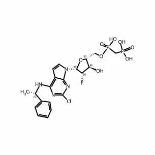 C[C@H](Nc1nc(Cl)nc2c1ccn2[C@@H]1O[C@H](COP(=O)(O)CP(=O)(O)O)[C@@H](O)[C@@H]1F)c1ccccc1